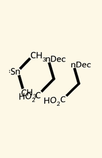 CCCCCCCCCCCC(=O)O.CCCCCCCCCCCC(=O)O.[CH3][Sn][CH3]